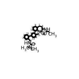 CCC(=O)N[C@@H]1CCc2ccccc2N(Cc2ccc(-c3ccccc3CNC(=O)N(C)C)cc2)C1=O